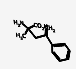 C=C(CC(C)(N)C(=O)O)c1ccccc1